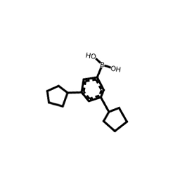 OB(O)c1cc(C2CCCC2)cc(C2CCCC2)c1